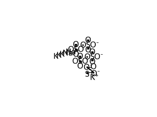 O=S(=O)([O-])OOS(=O)(=O)[O-].O=S(=O)([O-])OOS(=O)(=O)[O-].O=S([O-])([O-])=S.[K+].[K+].[K+].[K+].[Na+].[Na+]